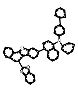 c1ccc(-c2ccc(N(c3ccccc3)c3ccc(-c4ccc5c(c4)oc4c6ccccc6cc(-c6nc7ccccc7o6)c54)c4ccccc34)cc2)cc1